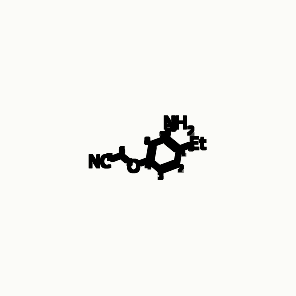 CCc1ccc(OCC#N)cc1N